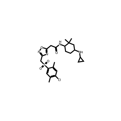 Cc1cc(S(=O)(=O)Cc2noc(CC(=O)NC3CCC(NC4CC4)CC3(C)C)n2)c(C)cc1Cl